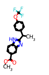 COC(=O)c1ccc2[nH]c(C(C)c3ccc(OC(F)(F)F)cc3)nc2c1